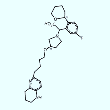 O=C(O)C(c1cc(F)ccc1[C@@H]1CCCCO1)N1CC[C@@H](OCCCCc2ccc3c(n2)CCCN3)C1